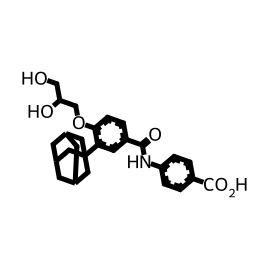 O=C(O)c1ccc(NC(=O)c2ccc(OCC(O)CO)c(C34CC5CC(CC(C5)C3)C4)c2)cc1